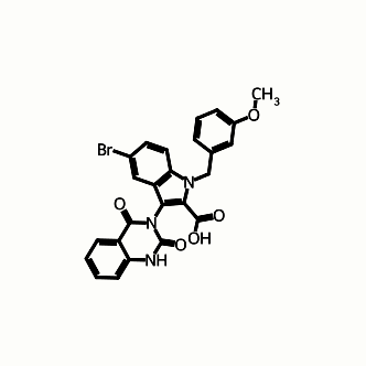 COc1cccc(Cn2c(C(=O)O)c(-n3c(=O)[nH]c4ccccc4c3=O)c3cc(Br)ccc32)c1